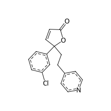 O=C1C=CC(CCc2ccncc2)(c2cccc(Cl)c2)O1